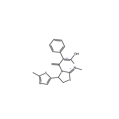 C=C(/C(=C(\C)O)c1ccccc1)N1/C(=N/C)SCC1c1cnc(C)s1